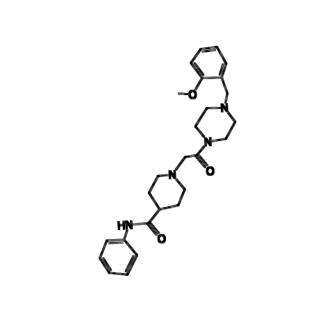 COc1ccccc1CN1CCN(C(=O)CN2CCC(C(=O)Nc3ccccc3)CC2)CC1